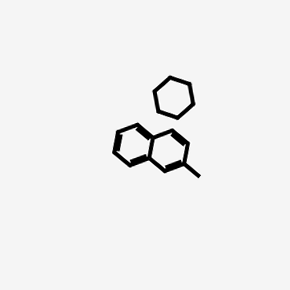 C1CCCCC1.Cc1ccc2ccccc2c1